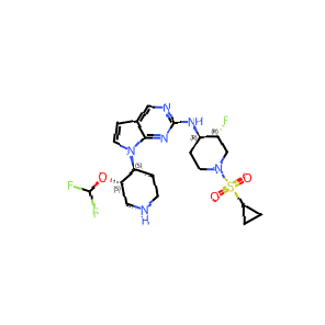 O=S(=O)(C1CC1)N1CC[C@@H](Nc2ncc3ccn([C@H]4CCNC[C@@H]4OC(F)F)c3n2)[C@H](F)C1